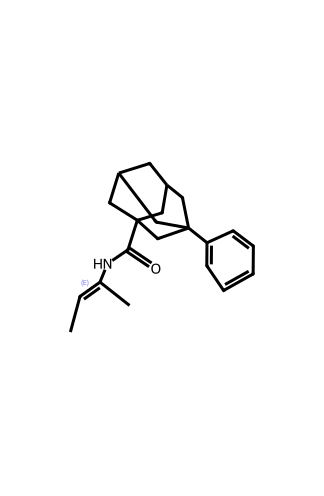 C/C=C(\C)NC(=O)C12CC3CC(C1)CC(c1ccccc1)(C3)C2